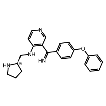 N=C(c1ccc(Oc2ccccc2)cc1)c1cnccc1NC[C@H]1CCCN1